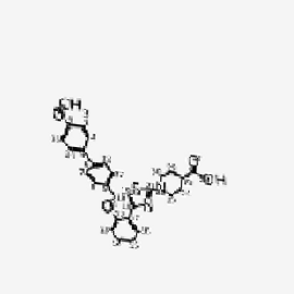 COc1ccc(-c2ccc(COc3ccccc3-c3csc(N4CCC(C(=O)O)CC4)n3)cc2)cc1